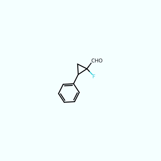 O=CC1(F)CC1c1ccccc1